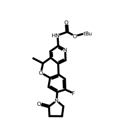 CC1Oc2cc(N3CCCC3=O)c(F)cc2-c2cnc(NC(=O)OC(C)(C)C)cc21